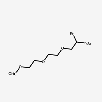 CCCCC(CC)COCCOCCO[C]=O